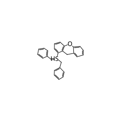 c1ccc(C[SH](Cc2ccccc2)c2cccc3c2Cc2ccccc2O3)cc1